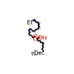 CC/C=C\C/C=C\C/C=C\C/C=C\C/C=C\C/C=C\CCC(=O)OC(CO)CCC/C=C\CCCCCCCCCCCCCC